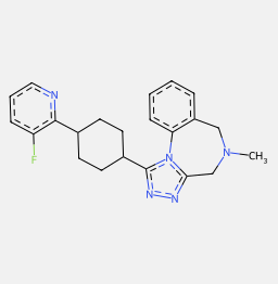 CN1Cc2ccccc2-n2c(nnc2C2CCC(c3ncccc3F)CC2)C1